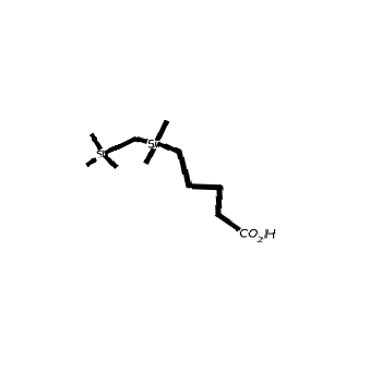 C[Si](C)(C)C[Si](C)(C)CCCCC(=O)O